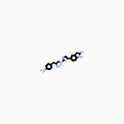 NC(CNc1ncc(-c2ccc3c(c2F)CC(=O)N3)s1)Cc1ccc(C(F)(F)F)cc1